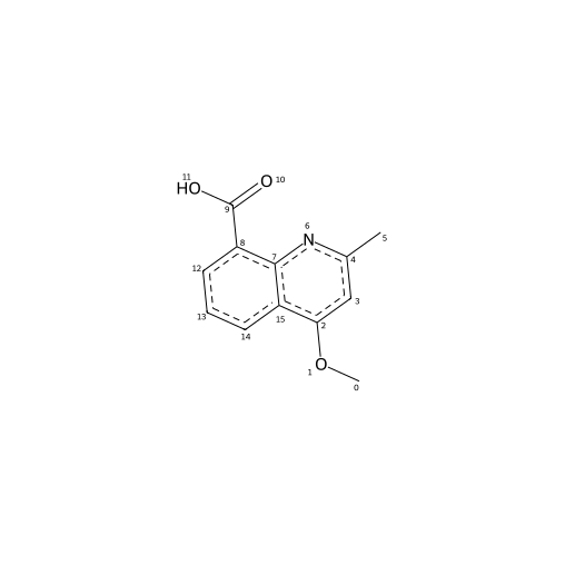 COc1cc(C)nc2c(C(=O)O)cccc12